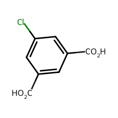 O=C(O)c1cc(Cl)cc(C(=O)O)c1